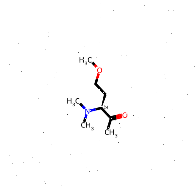 COCC[C@@H](C(C)=O)N(C)C